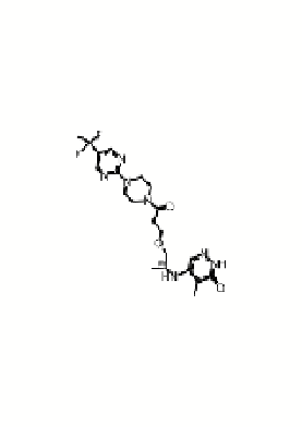 Cc1c(N[C@@H](C)COCCC(=O)N2CCN(c3ncc(C(C)(F)F)cn3)CC2)cn[nH]c1=O